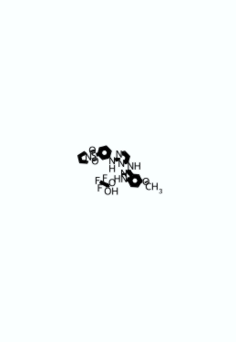 COc1ccc2[nH]nc(Nc3ccnc(Nc4cccc(S(=O)(=O)N5CCCC5)c4)n3)c2c1.O=C(O)C(F)(F)F